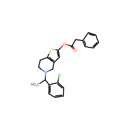 O=C(Cc1ccccc1)Oc1cc2c(s1)CCN(C(C(=O)O)c1ccccc1Cl)C2